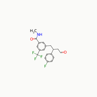 CNC(=O)c1cc(CC(CC=O)c2ccc(F)cc2)cc(C(F)(F)F)c1